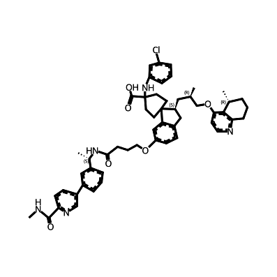 CNC(=O)c1ccc(-c2cccc([C@H](C)NC(=O)CCCOc3ccc4c(c3)C3(CCC(Nc5cccc(Cl)c5)(C(=O)O)CC3)[C@@H](C[C@@H](C)COc3ccnc5c3[C@H](C)CCC5)C4)c2)cn1